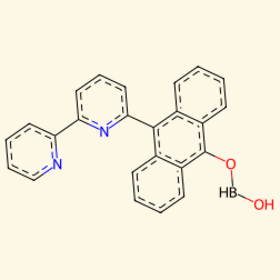 OBOc1c2ccccc2c(-c2cccc(-c3ccccn3)n2)c2ccccc12